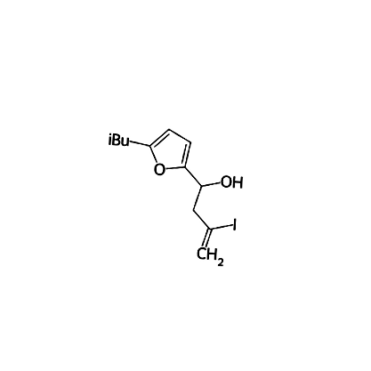 C=C(I)CC(O)c1ccc(C(C)CC)o1